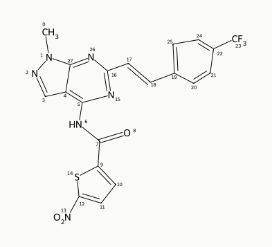 Cn1ncc2c(NC(=O)c3ccc([N+](=O)[O-])s3)nc(/C=C/c3ccc(C(F)(F)F)cc3)nc21